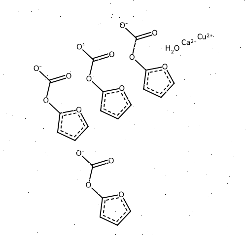 O.O=C([O-])Oc1ccco1.O=C([O-])Oc1ccco1.O=C([O-])Oc1ccco1.O=C([O-])Oc1ccco1.[Ca+2].[Cu+2]